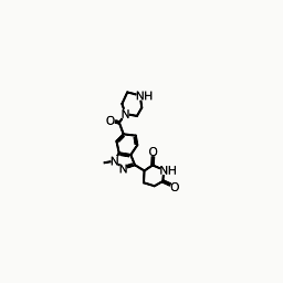 Cn1nc(C2CCC(=O)NC2=O)c2ccc(C(=O)N3CCNCC3)cc21